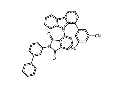 N#Cc1cc(C#N)cc(-c2cccc3c4ccccc4n(-c4cccc5c4C(=O)N(c4cccc(-c6ccccc6)c4)C5=O)c23)c1